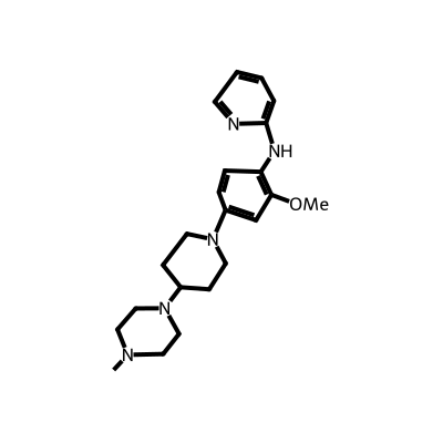 COc1cc(N2CCC(N3CCN(C)CC3)CC2)ccc1Nc1ccccn1